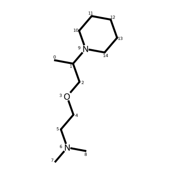 CC(COCCN(C)C)N1CCCCC1